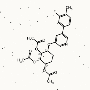 CC(=O)O[C@@H]1[C@@H](OC(C)=O)[C@@H](Oc2cncc(-c3ccc(C)c(F)c3)c2)SC[C@H]1OC(C)=O